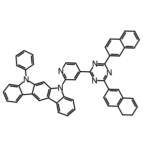 C1=Cc2cc(-c3nc(-c4ccnc(-n5c6ccccc6c6cc7c8ccccc8n(-c8ccccc8)c7cc65)c4)nc(-c4ccc5ccccc5c4)n3)ccc2CC1